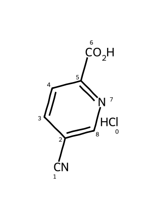 Cl.N#Cc1ccc(C(=O)O)nc1